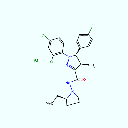 COC[C@@H]1CCCN1NC(=O)C1=NN(c2ccc(Cl)cc2Cl)[C@@H](c2ccc(Cl)cc2)[C@H]1C.Cl